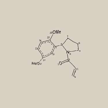 C=CC(=O)N1CCCC1c1cc(OC)ccc1OC